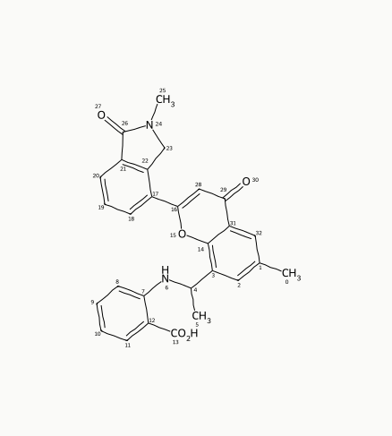 Cc1cc(C(C)Nc2ccccc2C(=O)O)c2oc(-c3cccc4c3CN(C)C4=O)cc(=O)c2c1